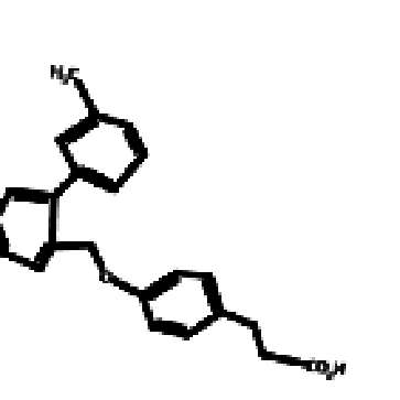 Cc1cccc(-c2ccccc2COc2ccc(CCC(=O)O)cc2)c1